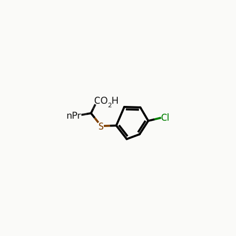 CCCC(Sc1ccc(Cl)cc1)C(=O)O